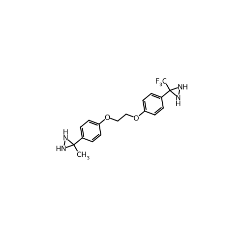 CC1(c2ccc(OCCOc3ccc(C4(C(F)(F)F)NN4)cc3)cc2)NN1